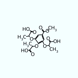 COC(=O)c1cc(OC(C)C(=O)O)c(OC(C)C(=O)O)c(OC(C)C(=O)O)c1